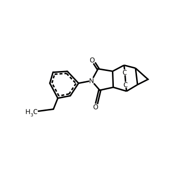 CCc1cccc(N2C(=O)C3C4CCC(C5CC54)C3C2=O)c1